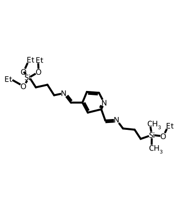 CCO[Si](C)(C)CCC/N=C/c1cc(/C=N/CCC[Si](OCC)(OCC)OCC)ccn1